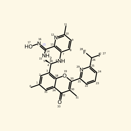 Cc1cc([C@@H](C)Nc2ccc(C)nc2/C(N)=N/O)c2oc(-c3cccc(C(F)F)n3)c(C)c(=O)c2c1